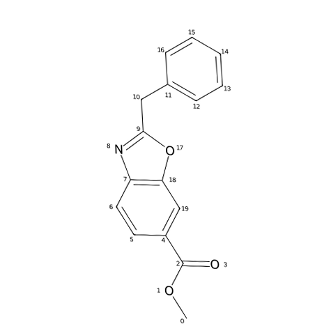 COC(=O)c1ccc2nc(Cc3ccccc3)oc2c1